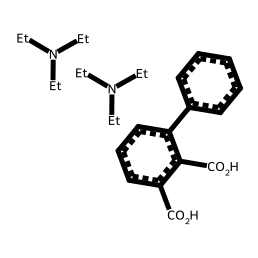 CCN(CC)CC.CCN(CC)CC.O=C(O)c1cccc(-c2ccccc2)c1C(=O)O